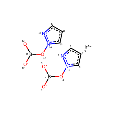 [Ir+4].[O-]B([O-])On1cccn1.[O-]B([O-])On1cccn1